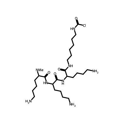 CNC(CCCCN)C(=O)NC(CCCCN)C(=O)NC(CCCCN)C(=O)NCCCCCCNC(=O)Cl